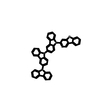 c1ccc2c(c1)oc1cc(-n3c4ccccc4c4cc(-n5c6ccccc6c6cc(-n7c8ccccc8c8ccccc87)ccc65)ccc43)ncc12